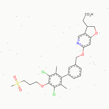 Cc1c(Cl)c(OCCCS(C)(=O)=O)c(Cl)c(C)c1-c1cccc(COc2cc3c(cn2)C(CC(=O)O)CO3)c1